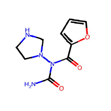 NC(=O)N(C(=O)c1ccco1)N1CCNC1